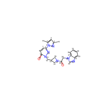 Cc1cc(C)n(-c2ccc(=O)n(CC3CN(C(=O)Cn4cnc5ccccc54)C3)n2)n1